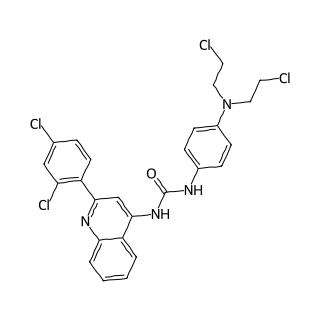 O=C(Nc1ccc(N(CCCl)CCCl)cc1)Nc1cc(-c2ccc(Cl)cc2Cl)nc2ccccc12